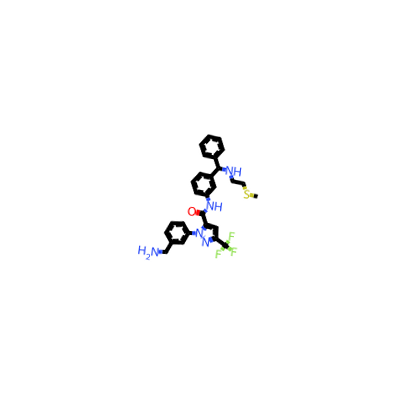 CSCCNC(c1ccccc1)c1cccc(NC(=O)c2cc(C(F)(F)F)nn2-c2cccc(CN)c2)c1